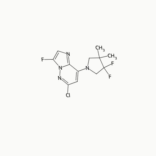 CC1(C)CN(c2cc(Cl)nn3c(F)cnc23)CC1(F)F